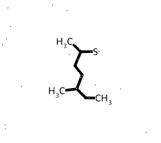 CCC(C)CCC(C)[S]